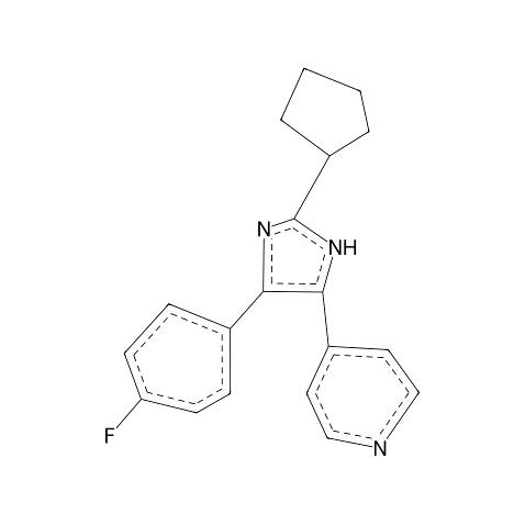 Fc1ccc(-c2nc(C3CCCC3)[nH]c2-c2ccncc2)cc1